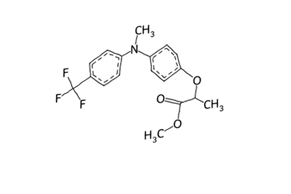 COC(=O)C(C)Oc1ccc(N(C)c2ccc(C(F)(F)F)cc2)cc1